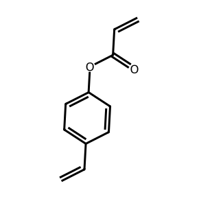 C=CC(=O)Oc1ccc(C=C)cc1